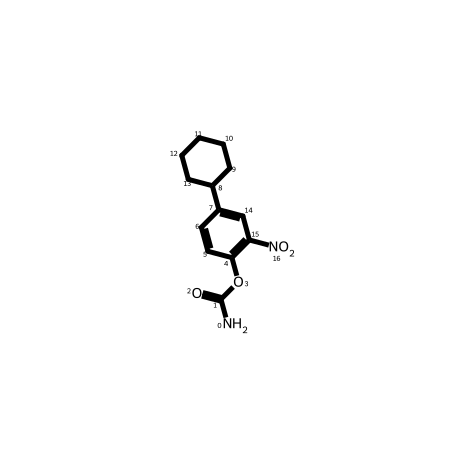 NC(=O)Oc1ccc(C2CCCCC2)cc1[N+](=O)[O-]